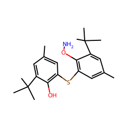 Cc1cc(Sc2cc(C)cc(C(C)(C)C)c2ON)c(O)c(C(C)(C)C)c1